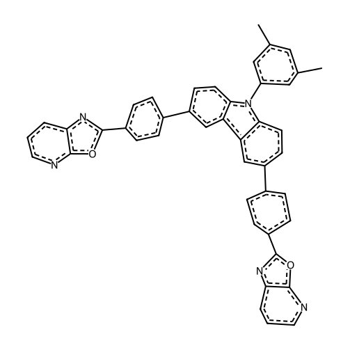 Cc1cc(C)cc(-n2c3ccc(-c4ccc(-c5nc6cccnc6o5)cc4)cc3c3cc(-c4ccc(-c5nc6cccnc6o5)cc4)ccc32)c1